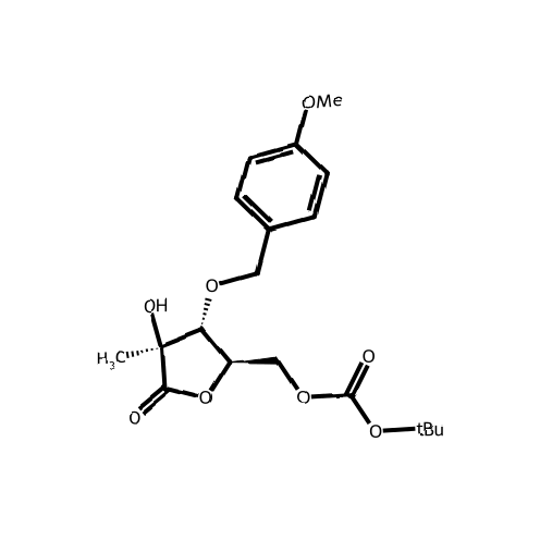 COc1ccc(CO[C@@H]2[C@@H](COC(=O)OC(C)(C)C)OC(=O)[C@@]2(C)O)cc1